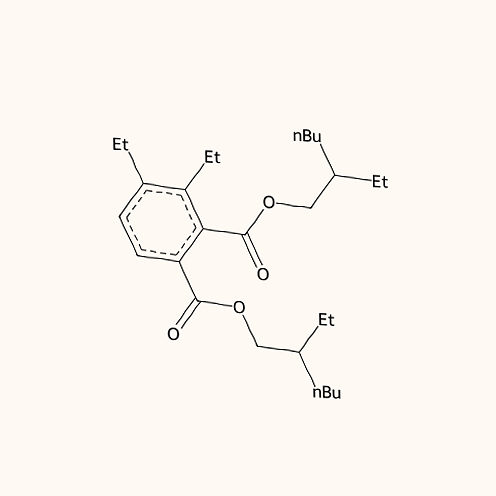 CCCCC(CC)COC(=O)c1ccc(CC)c(CC)c1C(=O)OCC(CC)CCCC